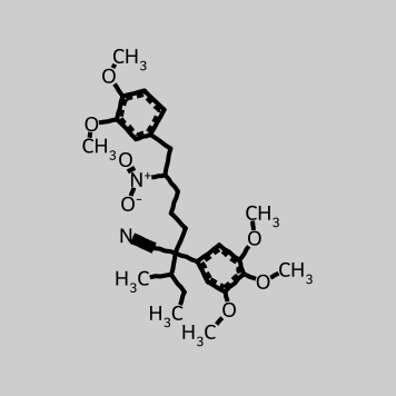 CCC(C)C(C#N)(CCCC(Cc1ccc(OC)c(OC)c1)[N+](=O)[O-])c1cc(OC)c(OC)c(OC)c1